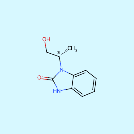 C[C@@H](CO)n1c(=O)[nH]c2ccccc21